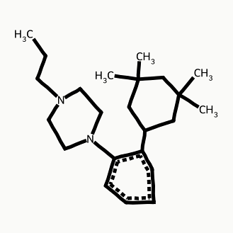 CCCN1CCN(c2ccccc2C2CC(C)(C)CC(C)(C)C2)CC1